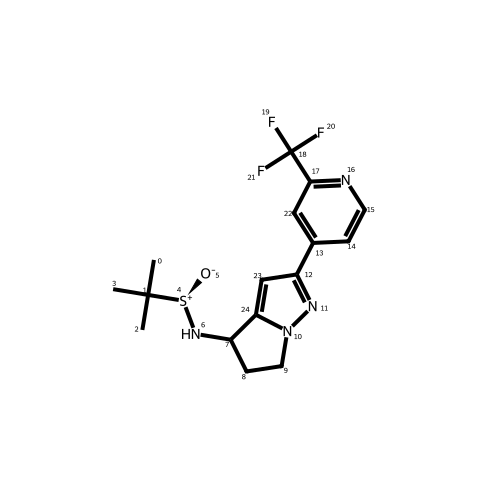 CC(C)(C)[S@@+]([O-])NC1CCn2nc(-c3ccnc(C(F)(F)F)c3)cc21